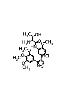 COc1ccc(-c2csnc2-c2cc(OC)c(OC)c(OC)c2)cc1NC(=O)C(N)C(C)O.Cl